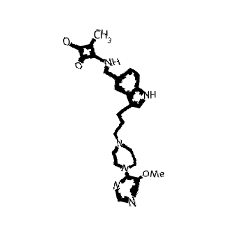 COc1cncnc1N1CCN(CCCc2c[nH]c3ccc(CNc4c(C)c(=O)c4=O)cc23)CC1